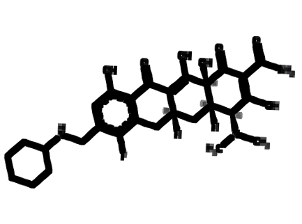 CN(C)[C@@H]1C(O)=C(C(N)=O)C(=O)[C@@]2(O)C(O)=C3C(=O)c4c(O)cc(CNC5CCCCC5)c(F)c4C[C@H]3C[C@@H]12